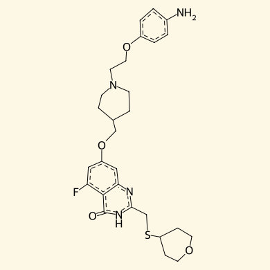 Nc1ccc(OCCN2CCC(COc3cc(F)c4c(=O)[nH]c(CSC5CCOCC5)nc4c3)CC2)cc1